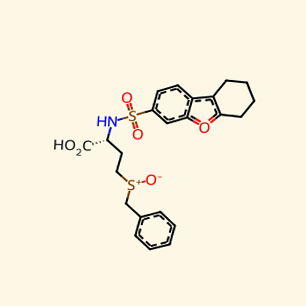 O=C(O)[C@@H](CC[S+]([O-])Cc1ccccc1)NS(=O)(=O)c1ccc2c3c(oc2c1)CCCC3